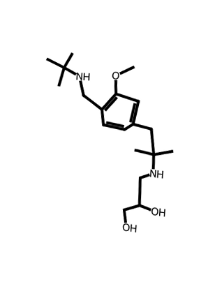 COc1cc(CC(C)(C)NCC(O)CO)ccc1CNC(C)(C)C